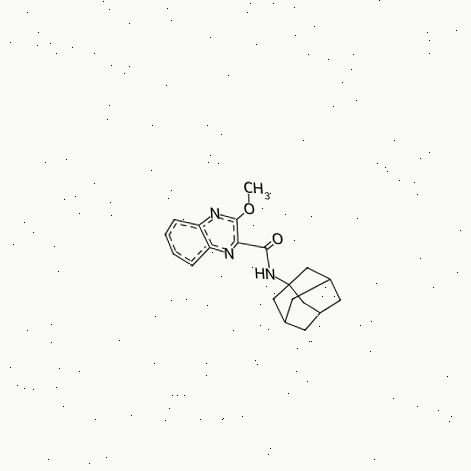 COc1nc2ccccc2nc1C(=O)NC12CC3CC(CC(C3)C1)C2